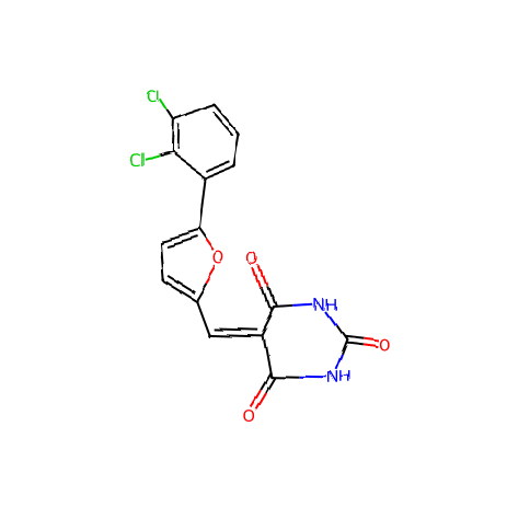 O=C1NC(=O)C(=Cc2ccc(-c3cccc(Cl)c3Cl)o2)C(=O)N1